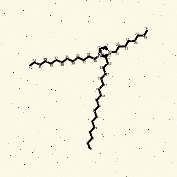 CCCCCCCCCCCCCCCCCc1n(CCCCCCCC)cc[n+]1CCCCCCCCCCCCC